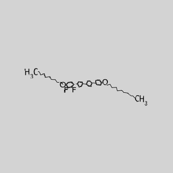 CCCCCCCCCCCCOc1ccc(-c2ccc(-c3ccc(-c4ccc(OCCCCCCCCCC)c(F)c4F)cc3)cc2)cc1